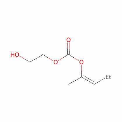 CCC=C(C)OC(=O)OCCO